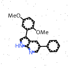 COc1ccc(OC)c(-c2c[nH]c3ncc(-c4ccccc4)cc23)c1